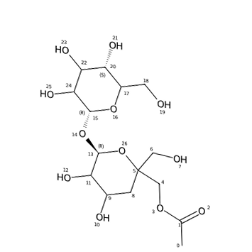 CC(=O)OCC1(CO)CC(O)C(O)[C@@H](O[C@H]2OC(CO)[C@@H](O)C(O)C2O)O1